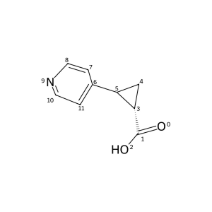 O=C(O)[C@H]1CC1c1ccncc1